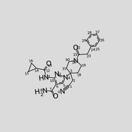 N#CCC1(n2cc(C(N)=O)c(NC(=O)C3CC3)n2)CCN(C(=O)Cc2ccccc2)CC1